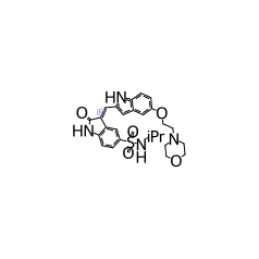 CC(C)NS(=O)(=O)c1ccc2c(c1)/C(=C\c1cc3cc(OCCN4CCOCC4)ccc3[nH]1)C(=O)N2